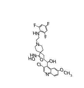 COc1ccc2ncc(Cl)c([C@H](O)CCC3(C(=O)NO)CCN(CCNc4c(F)cc(F)cc4F)CC3)c2c1